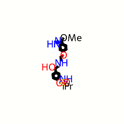 COc1n[nH]c2cc(OCCNCC(O)c3cccc(NS(=O)(=O)C(C)C)c3)ccc12